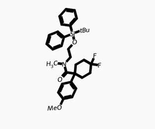 COc1ccc(C2(C(=O)N(C)CCO[Si](c3ccccc3)(c3ccccc3)C(C)(C)C)CCC(F)(F)CC2)cc1